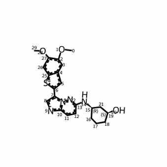 COc1cc2cc(-c3cnc4ccc(N[C@@H]5CCC[C@H](O)C5)nn34)sc2cc1OC